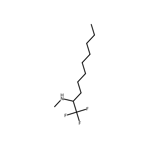 CCCCCCCCC(NC)C(F)(F)F